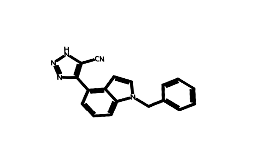 N#Cc1[nH]nnc1-c1cccc2c1ccn2Cc1ccccc1